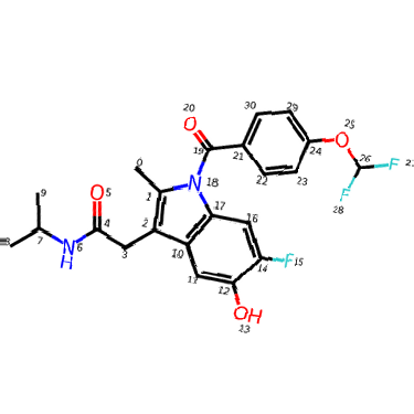 Cc1c(CC(=O)NC(C)C)c2cc(O)c(F)cc2n1C(=O)c1ccc(OC(F)F)cc1